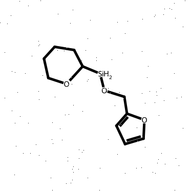 c1coc(CO[SiH2]C2CCCCO2)c1